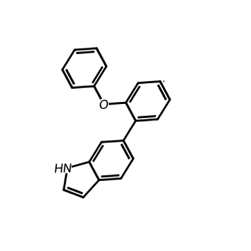 [c]1ccc(-c2ccc3cc[nH]c3c2)c(Oc2ccccc2)c1